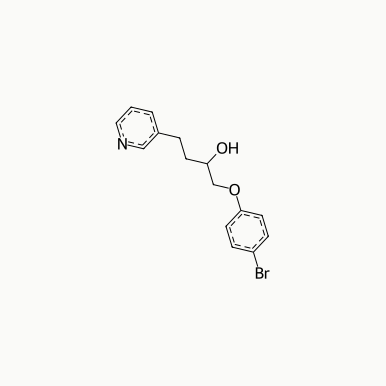 OC(CCc1cccnc1)COc1ccc(Br)cc1